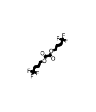 O=C(OCC=CC(F)(F)F)C(=O)OCC=CC(F)(F)F